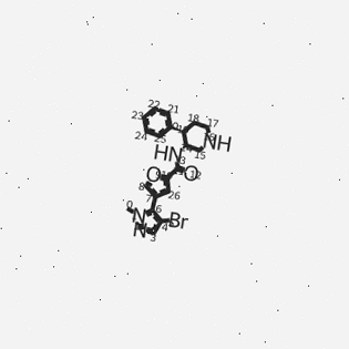 Cn1ncc(Br)c1-c1coc(C(=O)N[C@H]2CNCC[C@@H]2c2ccccc2)c1